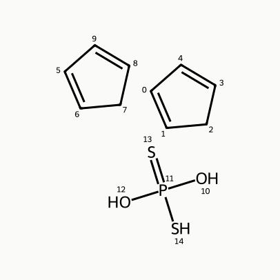 C1=CCC=C1.C1=CCC=C1.OP(O)(=S)S